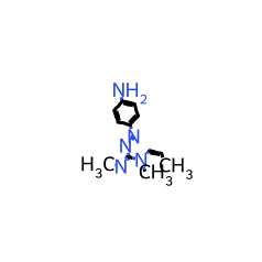 C/C=C\N(C)/C(N=Nc1ccc(N)cc1)=N/C